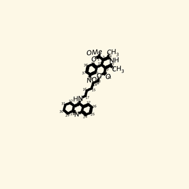 COC(=O)C1=C(C)NC(C)=C(C(=O)OCCCCCNc2c3c(nc4ccccc24)CCCC3)C1c1cccc([N+](=O)[O-])c1